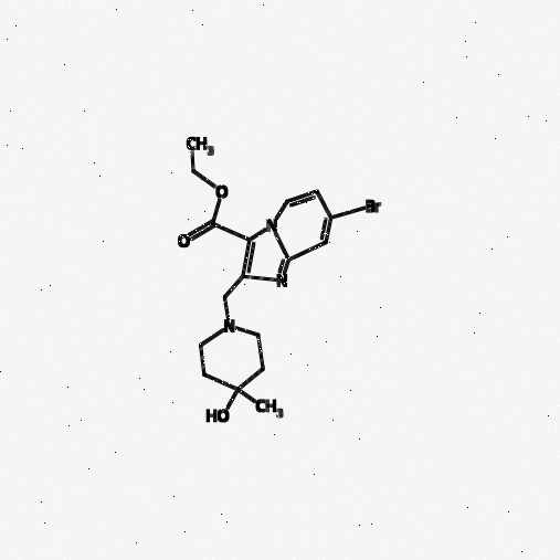 CCOC(=O)c1c(CN2CCC(C)(O)CC2)nc2cc(Br)ccn12